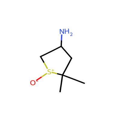 CC1(C)CC(N)C[S+]1[O-]